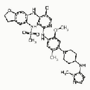 COc1cc(N2CCC(Nc3ccnn3C)CC2)c(C)cc1Nc1ncc(Cl)c(Nc2cc3c(cc2NS(C)(=O)=O)CCO3)n1